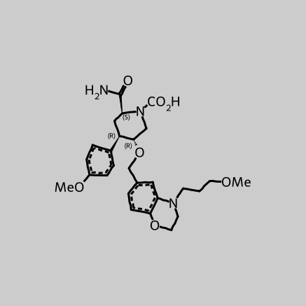 COCCCN1CCOc2ccc(CO[C@H]3CN(C(=O)O)[C@H](C(N)=O)C[C@@H]3c3ccc(OC)cc3)cc21